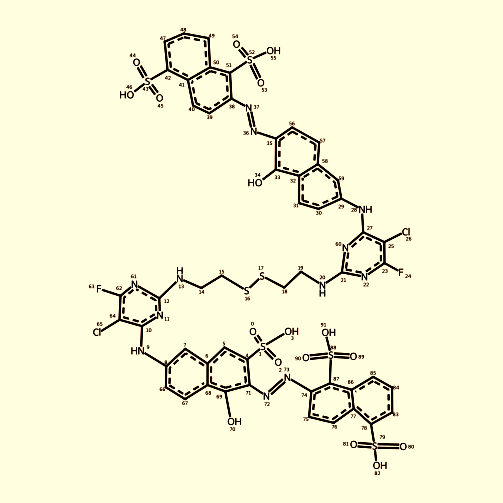 O=S(=O)(O)c1cc2cc(Nc3nc(NCCSSCCNc4nc(F)c(Cl)c(Nc5ccc6c(O)c(/N=N/c7ccc8c(S(=O)(=O)O)cccc8c7S(=O)(=O)O)ccc6c5)n4)nc(F)c3Cl)ccc2c(O)c1/N=N/c1ccc2c(S(=O)(=O)O)cccc2c1S(=O)(=O)O